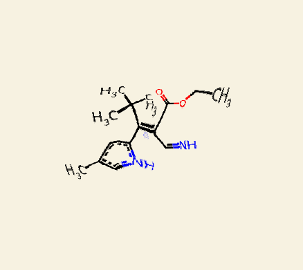 CCOC(=O)/C(C=N)=C(/c1cc(C)c[nH]1)C(C)(C)C